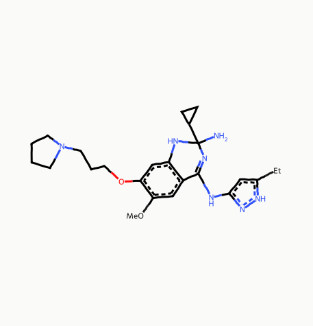 CCc1cc(NC2=NC(N)(C3CC3)Nc3cc(OCCCN4CCCC4)c(OC)cc32)n[nH]1